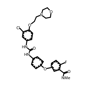 CNC(=O)c1cc(Oc2ccc(NC(=O)Nc3ccc(OCCN4CCOCC4)c(Cl)c3)cc2)ccc1F